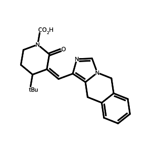 CC(C)(C)C1CCN(C(=O)O)C(=O)C1=Cc1ncn2c1Cc1ccccc1C2